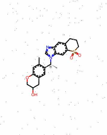 Cc1cc2c(cc1[C@@H](C)n1cnc3cc4c(cc31)S(=O)(=O)CCC4)CC(O)CO2